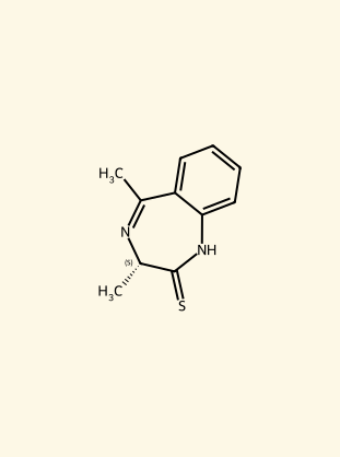 CC1=N[C@@H](C)C(=S)Nc2ccccc21